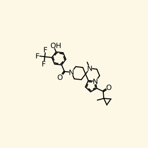 CN1CCn2c(C(=O)C3(C)CC3)ccc2C12CCN(C(=O)c1ccc(O)c(C(F)(F)F)c1)CC2